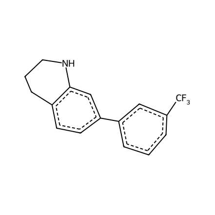 FC(F)(F)c1cccc(-c2ccc3c(c2)NCCC3)c1